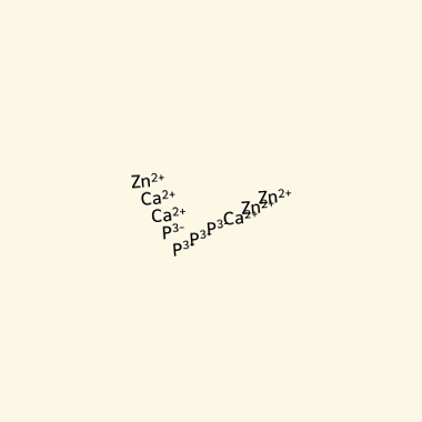 [Ca+2].[Ca+2].[Ca+2].[P-3].[P-3].[P-3].[P-3].[Zn+2].[Zn+2].[Zn+2]